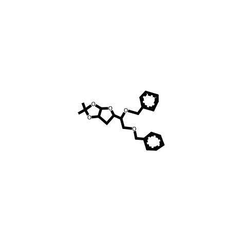 CC1(C)OC2CC(C(COCc3ccccc3)OCc3ccccc3)OC2O1